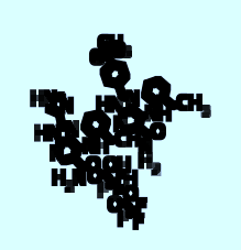 CCc1ccccc1Nc1c(C(N)=O)cnc2[nH]c(-c3c[nH]cn3)nc12.CCc1ccccc1Nc1c(C(N)=O)cnc2[nH]c(-c3ccc(S(C)(=O)=O)cc3)nc12.O=C(O)C(F)(F)F.O=C(O)C(F)(F)F